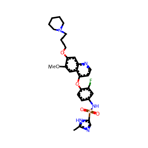 COc1cc2c(Oc3ccc(NS(=O)(=O)c4cnc(C)[nH]4)cc3F)ccnc2cc1OCCCN1CCCCC1